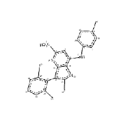 Cc1ccc(Nc2cc(C(=O)O)nc3c(-c4c(C)cccc4C)c(C)nn23)cc1